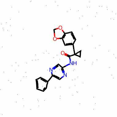 O=C(Nc1cnc(-c2ccccc2)cn1)C1(c2ccc3c(c2)OCO3)CC1